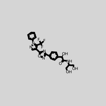 O=C(NC(CO)CO)[C@H](O)c1ccc(-c2noc(-c3cnn(-c4ccccc4)c3C(F)(F)F)n2)cc1